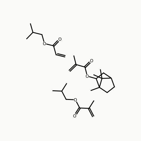 C=C(C)C(=O)OC1CC2CCC1(C)C2(C)C.C=C(C)C(=O)OCC(C)C.C=CC(=O)OCC(C)C